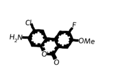 COc1cc2c(=O)oc3cc(N)c(Cl)cc3c2cc1F